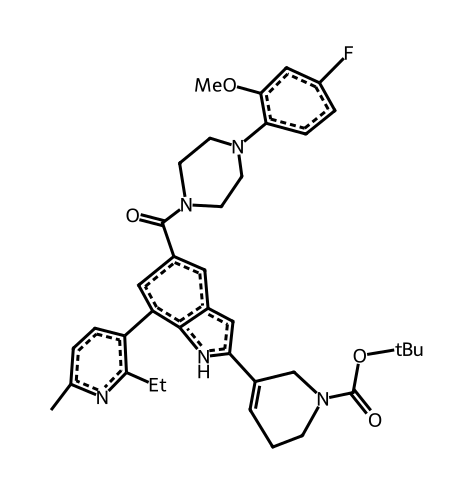 CCc1nc(C)ccc1-c1cc(C(=O)N2CCN(c3ccc(F)cc3OC)CC2)cc2cc(C3=CCCN(C(=O)OC(C)(C)C)C3)[nH]c12